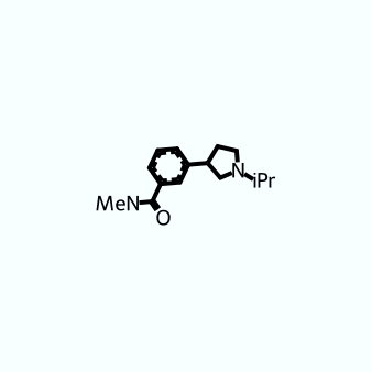 CNC(=O)c1cccc(C2CCN(C(C)C)C2)c1